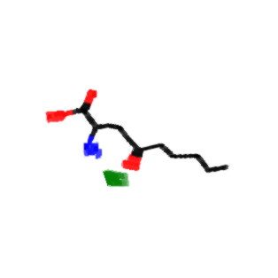 CCCCCC(=O)CC(N)C(=O)O.Cl